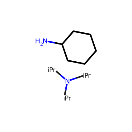 CC(C)N(C(C)C)C(C)C.NC1CCCCC1